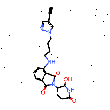 C#Cc1cnn(CCCCNc2cccc3c2C(=O)N(C2CCC(=O)NC2O)C3=O)c1